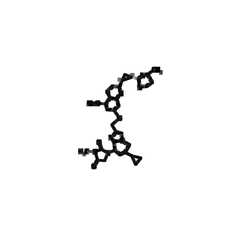 COc1cc(OCc2cn3cc(C4CC4)cc(N4CC(=O)N(C)C4=O)c3n2)cc2nc([C@H]3C[C@@H]3c3nccc(C)n3)ccc12